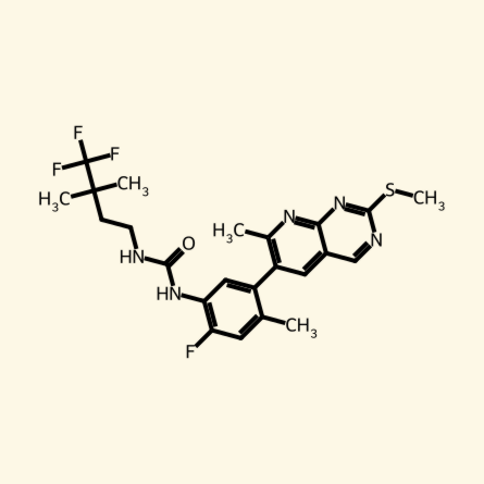 CSc1ncc2cc(-c3cc(NC(=O)NCCC(C)(C)C(F)(F)F)c(F)cc3C)c(C)nc2n1